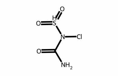 NC(=O)N(Cl)[SH](=O)=O